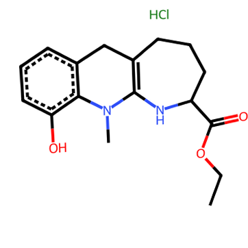 CCOC(=O)C1CCCC2=C(N1)N(C)c1c(O)cccc1C2.Cl